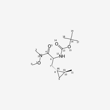 CON(C)C(=O)C(C[C@H]1C[C@@H]1C)NC(=O)OC(C)(C)C